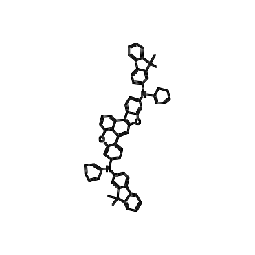 CC1(C)c2ccccc2-c2ccc(N(C3=CC=CCC3)c3ccc4c(c3)oc3cc5c6c(cccc6c34)Oc3cc(N(c4ccccc4)c4ccc6c(c4)C(C)(C)c4ccccc4-6)ccc3-5)cc21